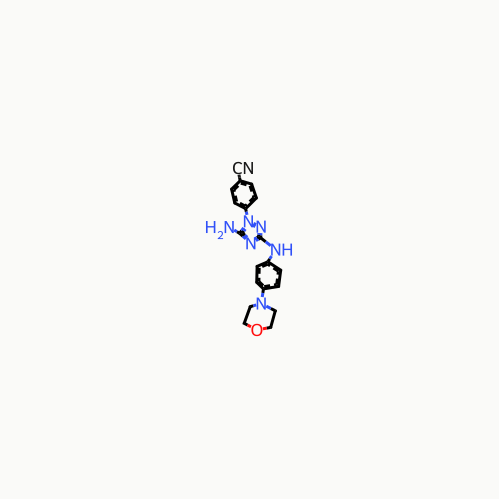 N#Cc1ccc(-n2nc(Nc3ccc(N4CCOCC4)cc3)nc2N)cc1